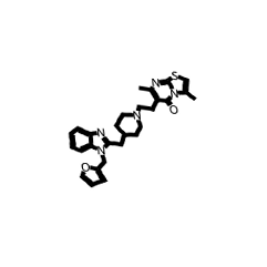 Cc1nc2scc(C)n2c(=O)c1CCN1CCC(Cc2nc3ccccc3n2Cc2ccco2)CC1